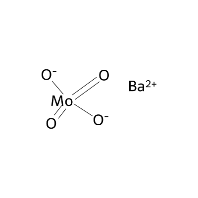 [Ba+2].[O]=[Mo](=[O])([O-])[O-]